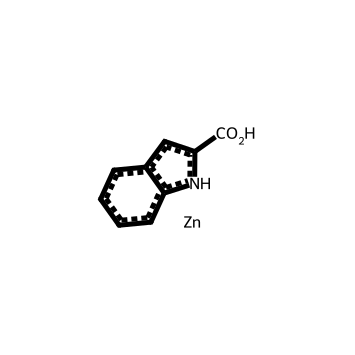 O=C(O)c1cc2ccccc2[nH]1.[Zn]